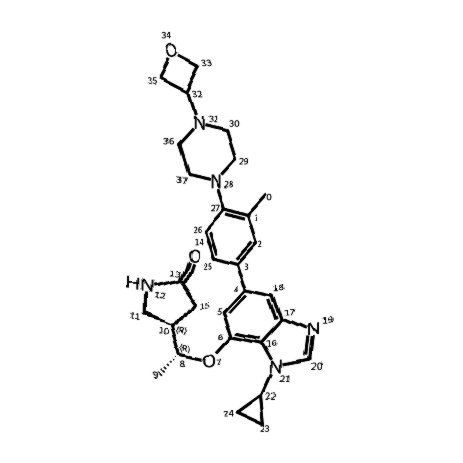 Cc1cc(-c2cc(O[C@H](C)[C@H]3CNC(=O)C3)c3c(c2)ncn3C2CC2)ccc1N1CCN(C2COC2)CC1